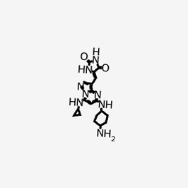 NC1CCC(Nc2cc(NC3CC3)n3ncc(/C=C4\NC(=O)NC4=O)c3n2)CC1